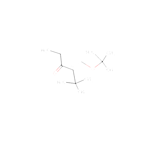 CCC(=O)[C@H](COC(C)(C)C)C(C)(C)C